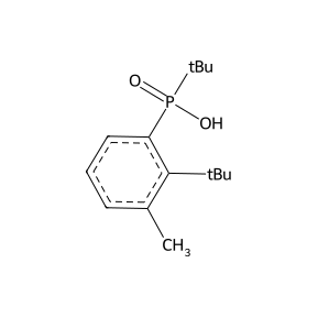 Cc1cccc(P(=O)(O)C(C)(C)C)c1C(C)(C)C